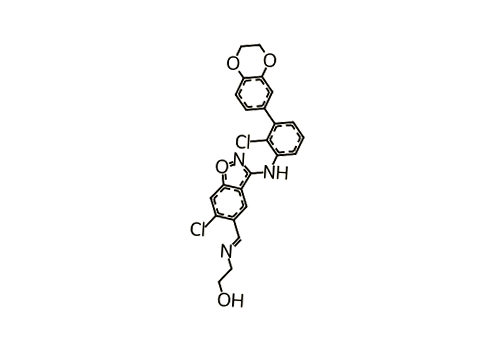 OCCN=Cc1cc2c(Nc3cccc(-c4ccc5c(c4)OCCO5)c3Cl)noc2cc1Cl